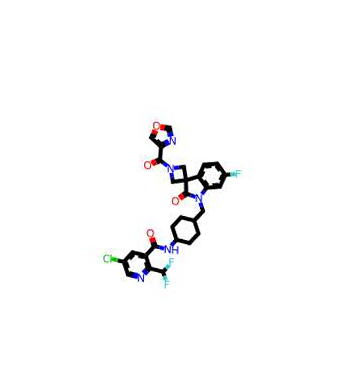 O=C(NC1CCC(CN2C(=O)C3(CN(C(=O)c4cocn4)C3)c3ccc(F)cc32)CC1)c1cc(Cl)cnc1C(F)F